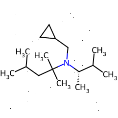 CC(C)CC(C)(C)N(CC1CC1)[C@@H](C)C(C)C